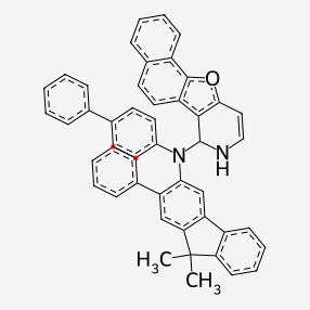 CC1(C)c2ccccc2-c2cc(N(c3ccc(-c4ccccc4)cc3)C3NC=Cc4oc5c(ccc6ccccc65)c43)c(-c3ccccc3)cc21